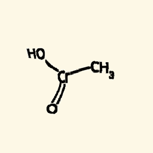 [CH3][Cr](=[O])[OH]